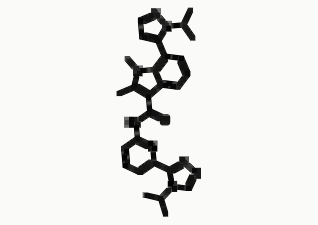 Cc1c(C(=O)Nc2cccc(-c3nncn3C(C)C)n2)c2cccc(-c3ccnn3C(C)C)c2n1C